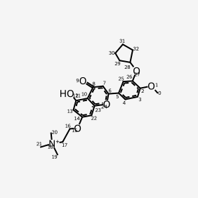 COc1ccc(-c2cc(=O)c3c(O)cc(OCC[N+](C)(C)C)cc3o2)cc1OC1CCCC1